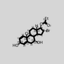 CCC(=O)O[C@H]1[C@H](Br)CC2C3C(CC[C@@H]21)[C@@]1(C)C=C[C@H](O)C=C1C[C@@H]3O